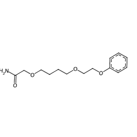 NC(=O)COCCCCOCCOc1ccccc1